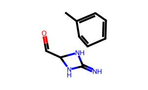 Cc1ccccc1.N=C1NC(C=O)N1